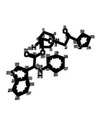 O=C(C[N+]12CCC(CC1)[C@@H](OC(=O)[C@H](Nc1ccccc1)c1csc3ccccc13)C2)c1cccs1